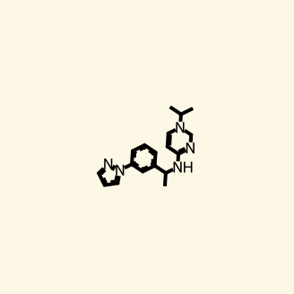 CC(NC1=NCN(C(C)C)C=C1)c1cccc(-n2cccn2)c1